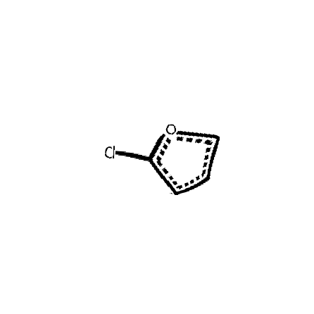 Clc1[c]cco1